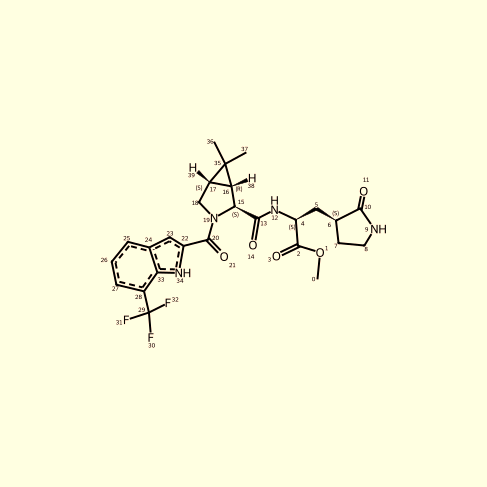 COC(=O)[C@H](C[C@@H]1CCNC1=O)NC(=O)[C@@H]1[C@@H]2[C@H](CN1C(=O)c1cc3cccc(C(F)(F)F)c3[nH]1)C2(C)C